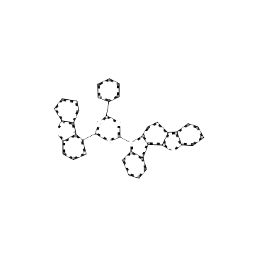 c1ccc(-c2nc(-c3cccc4oc5ccccc5c34)nc(-n3c4ccccc4c4c5sc6ccccc6c5ccc43)n2)cc1